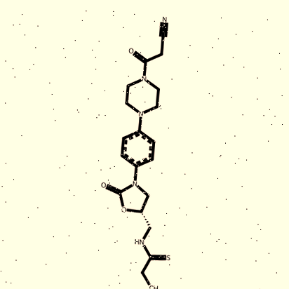 CCC(=S)NC[C@H]1CN(c2ccc(N3CCN(C(=O)CC#N)CC3)cc2)C(=O)O1